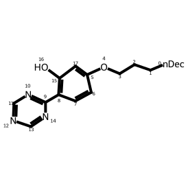 CCCCCCCCCCCCCOc1ccc(-c2ncncn2)c(O)c1